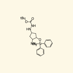 CC(C)(C)OC(=O)NNC1CC(N)C(O[Si](c2ccccc2)(c2ccccc2)C(C)(C)C)C1